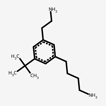 CC(C)(C)c1cc(CCN)cc(CCCCN)c1